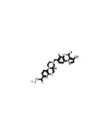 CNC(=O)c1ccc2c(n1)OC[C@H]1CN(Cc3ccc4c([nH]c(=O)c5c(C)cnn54)c3F)CCN21